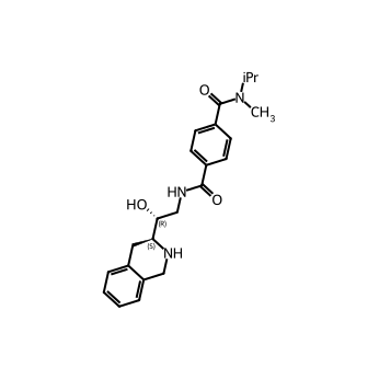 CC(C)N(C)C(=O)c1ccc(C(=O)NC[C@@H](O)[C@@H]2Cc3ccccc3CN2)cc1